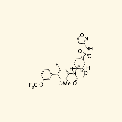 COc1cc(-c2cccc(OC(F)(F)F)c2)c(F)cc1N1C(=O)CO[C@@H]2CN(S(=O)(=O)Nc3ccon3)CC[C@H]21